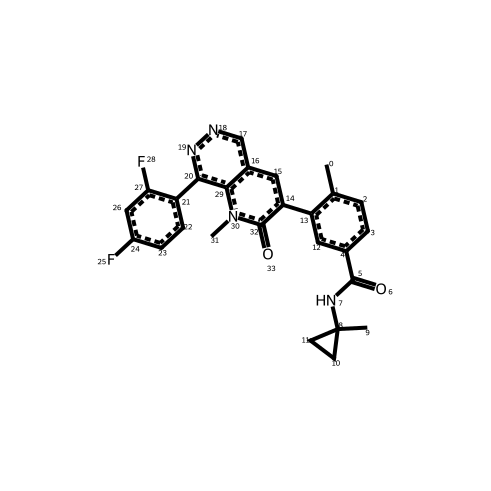 Cc1ccc(C(=O)NC2(C)CC2)cc1-c1cc2cnnc(-c3ccc(F)cc3F)c2n(C)c1=O